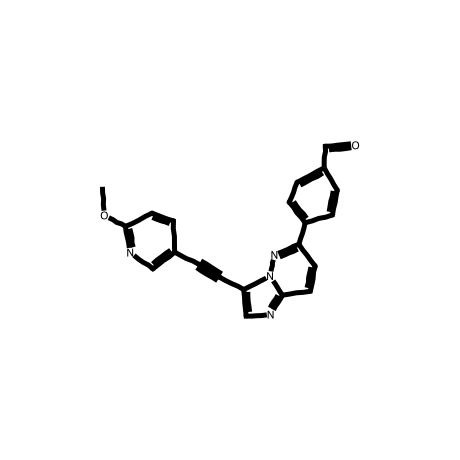 COc1ccc(C#Cc2cnc3ccc(-c4ccc(C=O)cc4)nn23)cn1